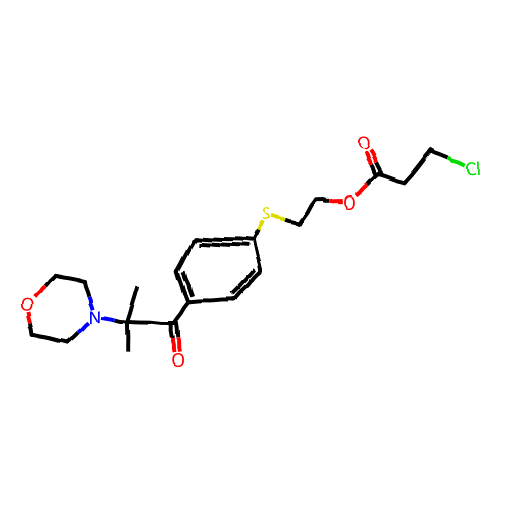 CC(C)(C(=O)c1ccc(SCCOC(=O)CCCl)cc1)N1CCOCC1